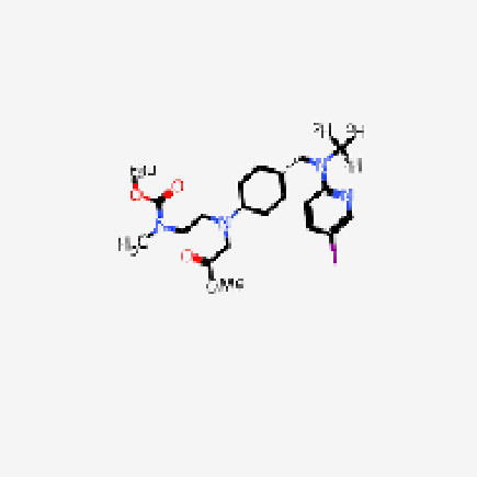 [2H]C([2H])([2H])N(C[C@H]1CC[C@H](N(CCN(C)C(=O)OC(C)(C)C)CC(=O)OC)CC1)c1ccc(I)cn1